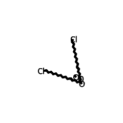 COC(CCC=CCCCCCCCCCCCl)OC(CCC=CCCCCCCCCCCCl)OC